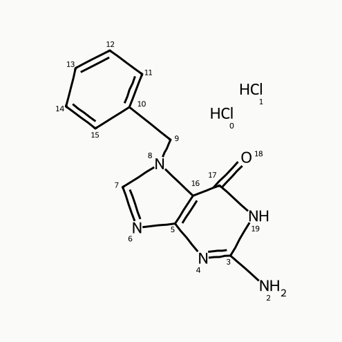 Cl.Cl.Nc1nc2ncn(Cc3ccccc3)c2c(=O)[nH]1